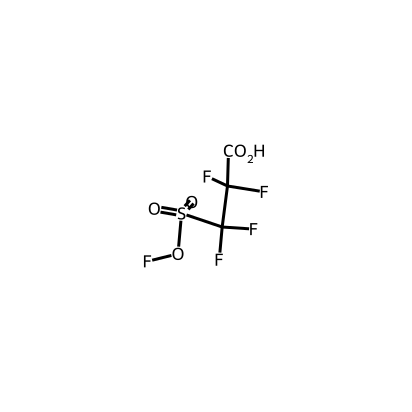 O=C(O)C(F)(F)C(F)(F)S(=O)(=O)OF